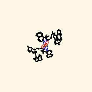 C=C(/C=C/C=C1/N(CS(=O)(=O)CN2/C(=C/C=C/C(=C)C(C)(Cc3ccc(C)cc3)c3c(C)ccc4ccccc34)C(C)(C)c3c2ccc2ccccc32)c2ccc3ccccc3c2C1(C)C)C(C)(Cc1ccc(C)cc1)c1c(C)ccc2ccccc12